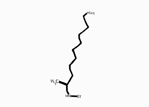 [CH2]CNC(C)CCCCCCCCCCCCCCCC